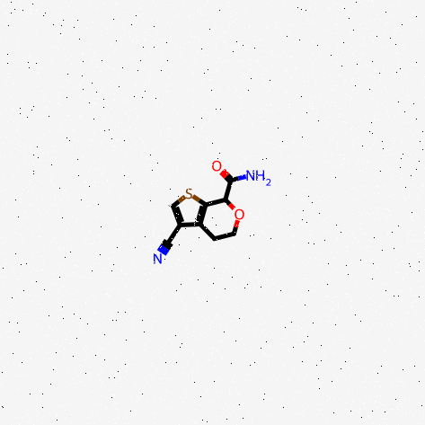 N#Cc1[c]sc2c1CCOC2C(N)=O